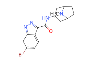 CN1C2CCC1CC(NC(=O)C1=NN=C3CC(Br)=CC=C31)C2